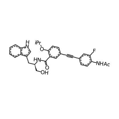 CC(=O)Nc1ccc(C#Cc2ccc(OC(C)C)c(C(=O)N[C@@H](CO)Cc3c[nH]c4ccccc34)c2)cc1F